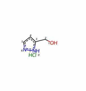 Cl.OCc1ccn[nH]1